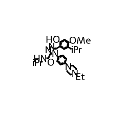 CCN1CCN(c2ccc(-n3c(C(=O)NC(C)C)nnc3-c3cc(C(C)C)c(OC)cc3O)cc2)CC1